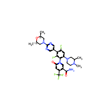 CC1CN(c2cc(F)c(-c3cnc(N4C[C@H](C)O[C@@H](C)C4)nc3)c(F)c2-n2cc(C(N)=O)c(C(F)(F)F)cc2=O)CCN1C